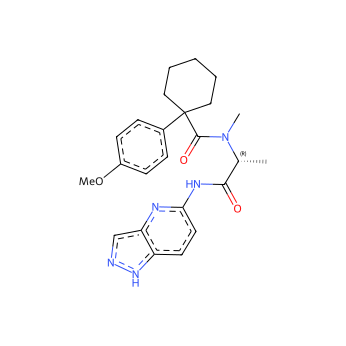 COc1ccc(C2(C(=O)N(C)[C@H](C)C(=O)Nc3ccc4[nH]ncc4n3)CCCCC2)cc1